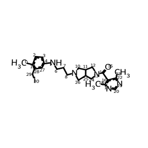 Cc1ccc(NCCCN2CC3CN(C(=O)c4c(C)ncnc4C)CC3C2)cc1CI